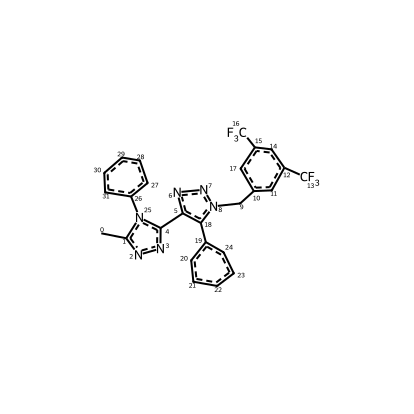 Cc1nnc(-c2nnn(Cc3cc(C(F)(F)F)cc(C(F)(F)F)c3)c2-c2ccccc2)n1-c1ccccc1